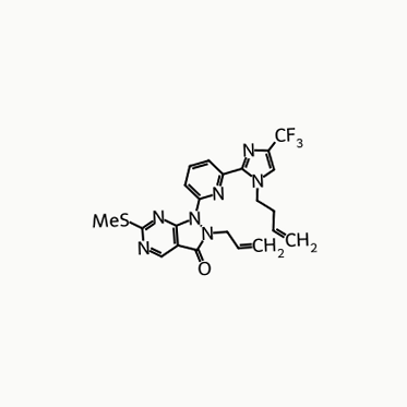 C=CCCn1cc(C(F)(F)F)nc1-c1cccc(-n2c3nc(SC)ncc3c(=O)n2CC=C)n1